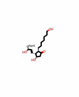 CCCCC[C@H](O)/C=C/[C@H]1[C@H](O)CC(=O)[C@@H]1CCCCCCCO